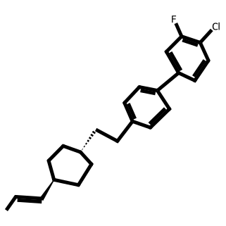 CC=C[C@H]1CC[C@H](CCc2ccc(-c3ccc(Cl)c(F)c3)cc2)CC1